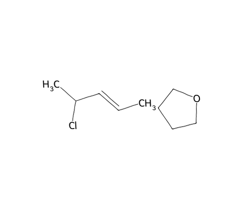 C1CCOC1.CC=CC(C)Cl